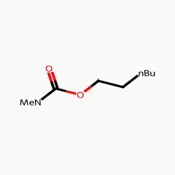 CCCCC[CH]OC(=O)NC